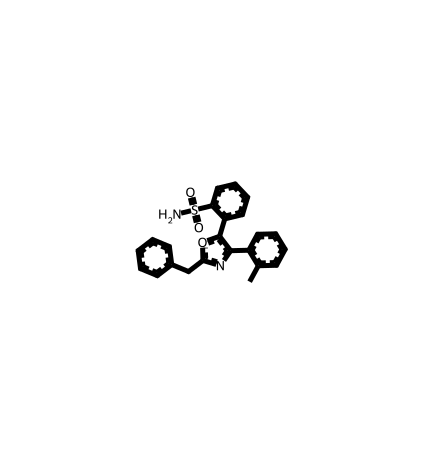 Cc1ccccc1-c1nc(Cc2ccccc2)oc1-c1ccccc1S(N)(=O)=O